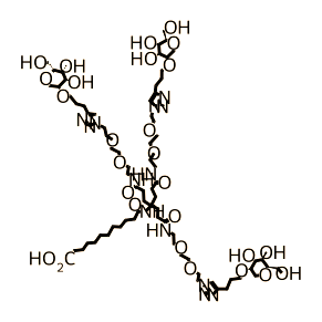 O=C(O)CCCCCCCCCCC(=O)NC(CCC(=O)NCCOCCOCCn1cc(CCCO[C@H]2CO[C@H](CO)[C@H](O)[C@@H]2O)nn1)(CCC(=O)NCCOCCOCCn1cc(CCCO[C@H]2CO[C@H](CO)[C@H](O)[C@@H]2O)nn1)CCC(=O)NCCOCCOCCn1cc(CCCO[C@H]2CO[C@H](CO)[C@H](O)[C@@H]2O)nn1